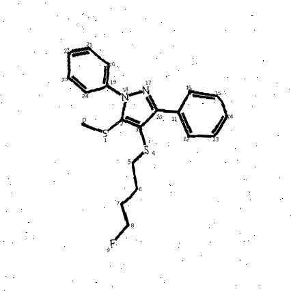 CSc1c(SCCCCF)c(-c2ccccc2)nn1-c1ccccc1